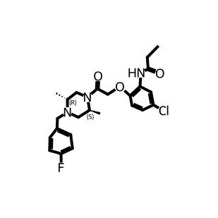 CCC(=O)Nc1cc(Cl)ccc1OCC(=O)N1C[C@@H](C)N(Cc2ccc(F)cc2)C[C@@H]1C